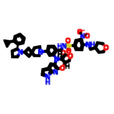 O=C(NS(=O)(=O)c1ccc(NCC2CCOCC2)c([N+](=O)[O-])c1)c1ccc(N2CCC3(CC2)CC(N2CCC[C@H]2c2ccccc2C2CC2)C3)cc1N1c2cc3cc[nH]c3nc2O[C@H]2COC[C@@H]21